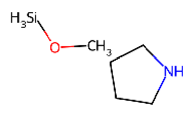 C1CCNC1.CO[SiH3]